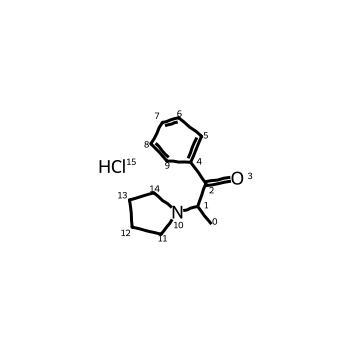 CC(C(=O)c1ccccc1)N1CCCC1.Cl